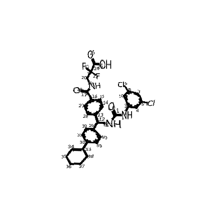 O=C(Nc1cc(Cl)cc(Cl)c1)NC(c1ccc(C(=O)NCC(F)(F)C(=O)O)cc1)c1ccc(C2=CCCCC2)cc1